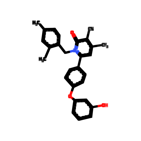 Cc1ccc(Cn2c(-c3ccc(Oc4cccc(O)c4)cc3)cc(C(F)(F)F)c(C#N)c2=O)c(C)c1